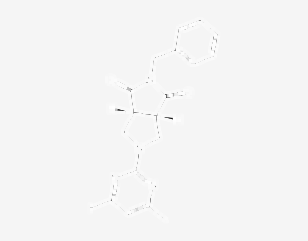 Cc1cc(I)nc(N2C[C@@H]3C(=O)N(Cc4ccccc4)C(=O)[C@@H]3C2)n1